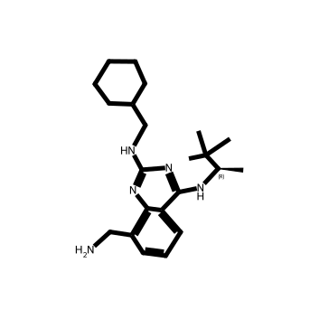 C[C@@H](Nc1nc(NCC2CCCCC2)nc2c(CN)cccc12)C(C)(C)C